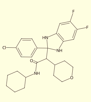 O=C(NC1CCCCC1)C(C1CCOCC1)C1(c2ccc(Cl)cc2)Nc2cc(F)c(F)cc2N1